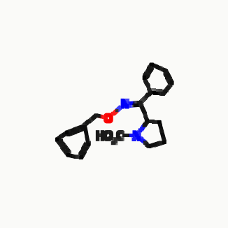 O=C(O)N1CCCC1/C(=N\OCc1ccccc1)c1ccccc1